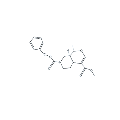 COC(=O)C1=CO[C@@H](C)[C@@H]2CN(C(=O)OCc3ccccc3)CCC12